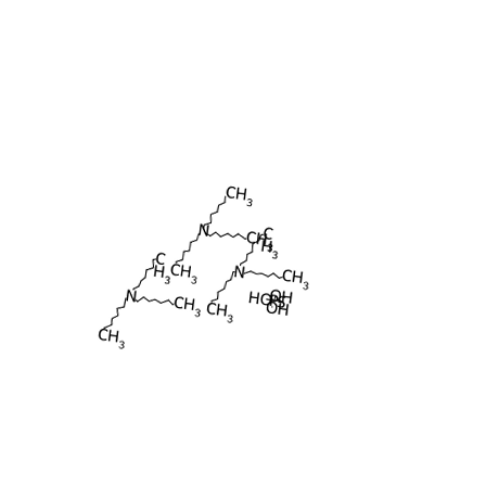 CCCCCCCCN(CCCCCCCC)CCCCCCCC.CCCCCCCCN(CCCCCCCC)CCCCCCCC.CCCCCCCCN(CCCCCCCC)CCCCCCCC.OP(O)(O)=S